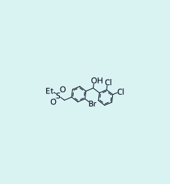 CCS(=O)(=O)Cc1ccc(C(O)c2cccc(Cl)c2Cl)c(Br)c1